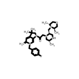 C=C1C=C2C(=CN1Cc1ccc(F)cc1)N(C(=O)CN1C[C@@H](C)NC[C@@H]1CN1[C@H](C)COC[C@H]1C)CC2(C)C